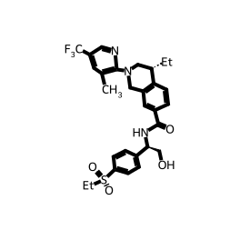 CC[C@H]1CN(c2ncc(C(F)(F)F)cc2C)Cc2cc(C(=O)N[C@@H](CO)c3ccc(S(=O)(=O)CC)cc3)ccc21